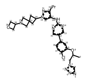 CC(Cn1cnnn1)Oc1cc(-c2cnc(Nc3cn(C4CC5(C4)CN(C4COC4)C5)nc3C(C)C)nc2)ccc1Cl